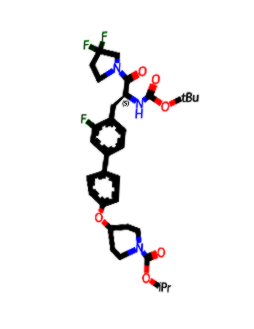 CC(C)OC(=O)N1CCC(Oc2ccc(-c3ccc(C[C@H](NC(=O)OC(C)(C)C)C(=O)N4CCC(F)(F)C4)c(F)c3)cc2)CC1